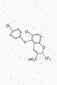 O=C(O)C1=Cc2c(ccc(Cl)c2Sc2ccc(Cl)cc2)OC1C(F)(F)F